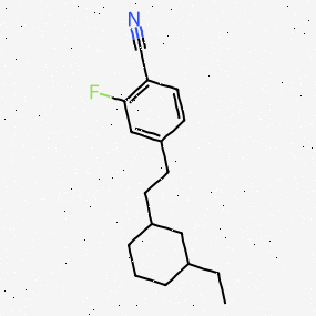 CCC1CCCC(CCc2ccc(C#N)c(F)c2)C1